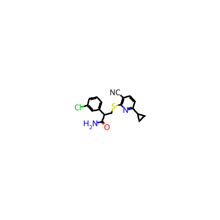 N#Cc1ccc(C2CC2)nc1SCC(C(N)=O)c1cccc(Cl)c1